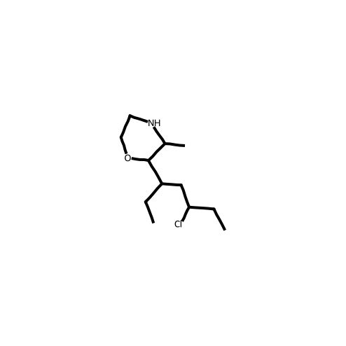 CCC(Cl)CC(CC)C1OCCNC1C